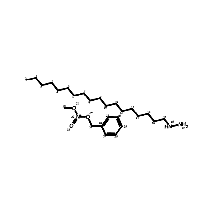 CCCCCCCCCCCCCCCCCCNN.CO[N+](=O)OCc1ccccc1